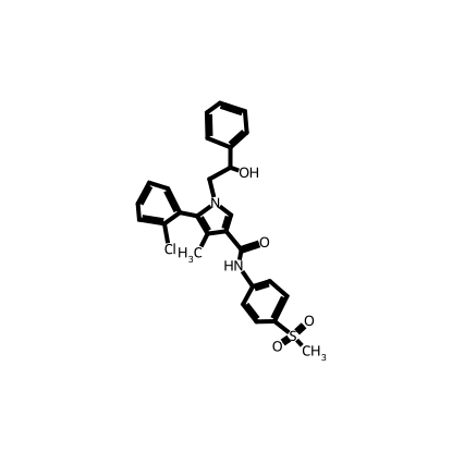 Cc1c(C(=O)Nc2ccc(S(C)(=O)=O)cc2)cn(CC(O)c2ccccc2)c1-c1ccccc1Cl